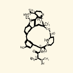 CCn1c(-c2cnccc2[C@H](C)OC)c2c3cc(ccc31)-c1cc(O)cc(c1)C[C@H](NC(=O)[C@H](C(C)C)N(C)C(C)=O)C(=O)N1CCCC(C=O)(COCC(C)(C)C2)N1